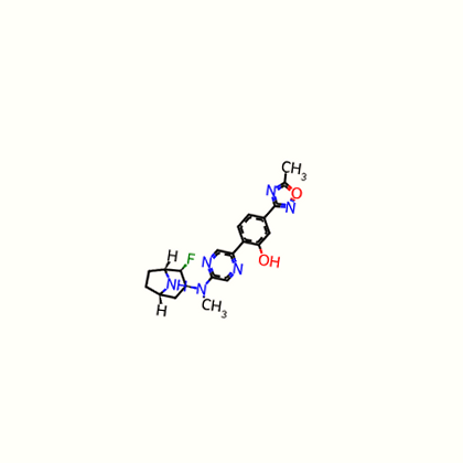 Cc1nc(-c2ccc(-c3cnc(N(C)[C@H]4C[C@@H]5CC[C@@H](N5)[C@H]4F)cn3)c(O)c2)no1